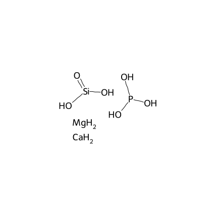 O=[Si](O)O.OP(O)O.[CaH2].[MgH2]